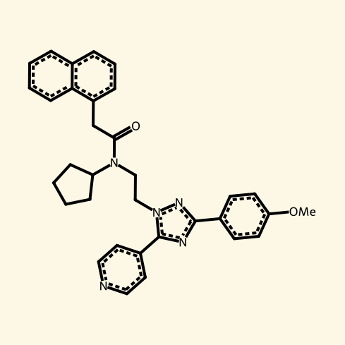 COc1ccc(-c2nc(-c3ccncc3)n(CCN(C(=O)Cc3cccc4ccccc34)C3CCCC3)n2)cc1